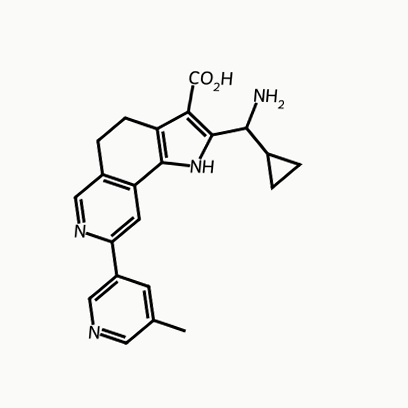 Cc1cncc(-c2cc3c(cn2)CCc2c-3[nH]c(C(N)C3CC3)c2C(=O)O)c1